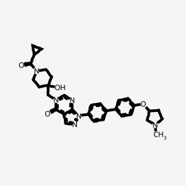 CN1CCC(Oc2ccc(-c3ccc(-n4ncc5c(=O)n(CC6(O)CCN(C(=O)C7CC7)CC6)cnc54)cc3)cc2)C1